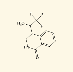 CC(C1CNC(=O)c2ccccc21)C(F)(F)F